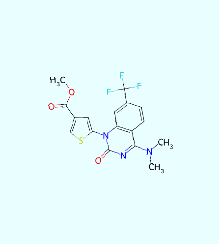 COC(=O)c1csc(-n2c(=O)nc(N(C)C)c3ccc(C(F)(F)F)cc32)c1